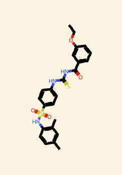 CCOc1cccc(C(=O)NC(=S)Nc2ccc(S(=O)(=O)Nc3ccc(C)cc3C)cc2)c1